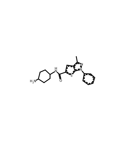 Cc1nn(-c2ccccc2)c2sc(C(=O)NC3CCC(N)CC3)cc12